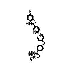 CCS(=O)(=O)NC(=O)[C@H]1CC[C@H](OC2CCN(c3ccc(-c4nc5cc(F)ccc5[nH]4)cn3)CC2)CC1